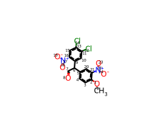 COc1ccc(C(C=O)c2cc(Cl)c(Cl)cc2[N+](=O)[O-])cc1[N+](=O)[O-]